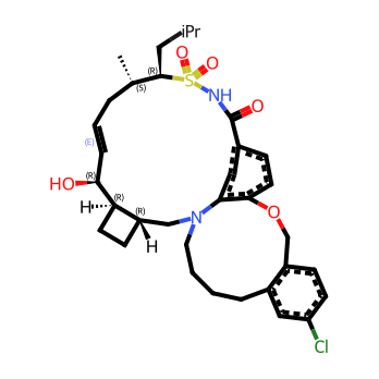 CC(C)C[C@@H]1[C@@H](C)C/C=C/[C@H](O)[C@@H]2CC[C@H]2CN2CCCCc3cc(Cl)ccc3COc3ccc(cc32)C(=O)NS1(=O)=O